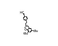 C#Cc1ccc(CCN2COc3c(cc(C(C)(C)C)cc3C(C)(C)C)C2)cc1